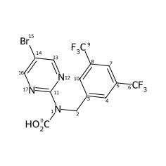 O=C(O)N(Cc1cc(C(F)(F)F)cc(C(F)(F)F)c1)c1ncc(Br)cn1